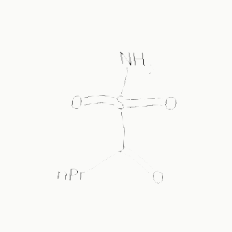 CCCC(=O)S(N)(=O)=O